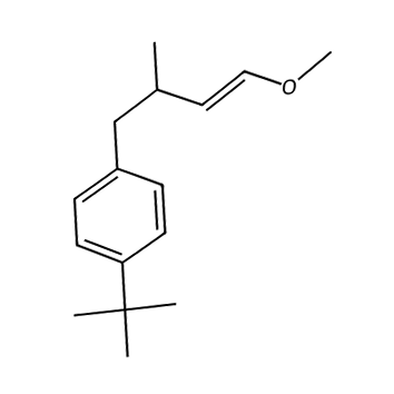 COC=CC(C)Cc1ccc(C(C)(C)C)cc1